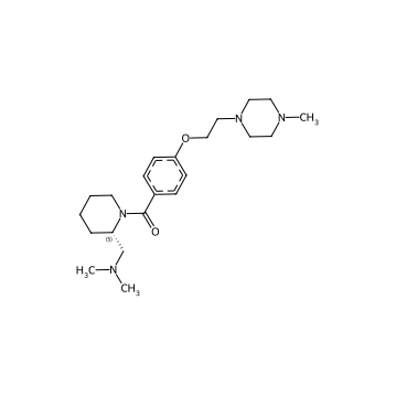 CN(C)C[C@@H]1CCCCN1C(=O)c1ccc(OCCN2CCN(C)CC2)cc1